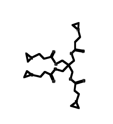 O=C(CCN1CC1)OCC(COC(=O)CCN1CC1)(COC(=O)CCN1CC1)COC(=O)CCN1CC1